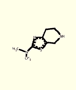 CN(C)c1nc2c(s1)CNCC2